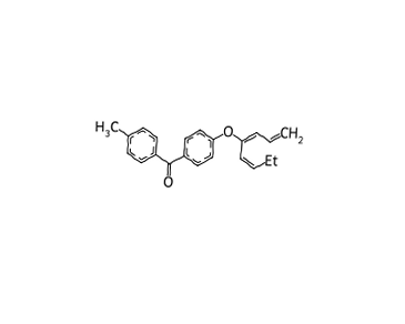 C=C/C=C(\C=C/CC)Oc1ccc(C(=O)c2ccc(C)cc2)cc1